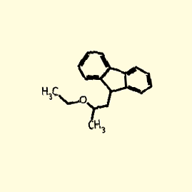 CCOC(C)CC1c2ccccc2-c2ccccc21